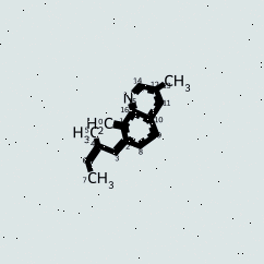 C=c1/c(=C\C(C)=C/C)ccc2cc(C)cnc12